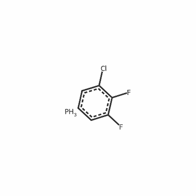 Fc1cccc(Cl)c1F.P